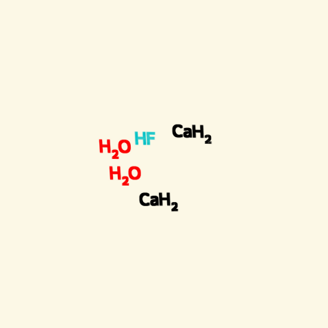 F.O.O.[CaH2].[CaH2]